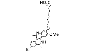 COc1cc2c(N[C@H](C)c3cccc(Br)c3)nc(C)nc2cc1OCCCCCCCCC(=O)O